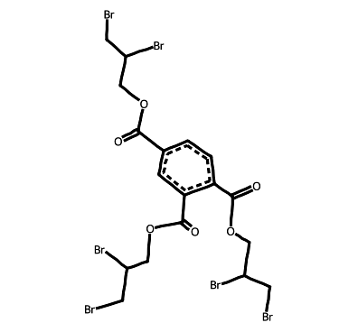 O=C(OCC(Br)CBr)c1ccc(C(=O)OCC(Br)CBr)c(C(=O)OCC(Br)CBr)c1